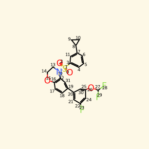 O=S(=O)(c1cccc(C2CC2)c1)N1CCOc2ccc(-c3cc(F)cc(OC(F)F)c3)cc21